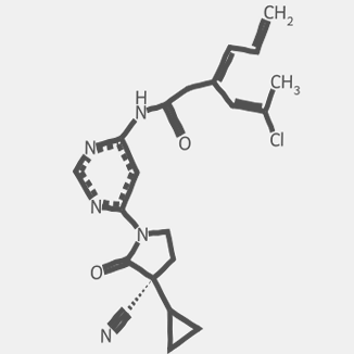 C=C/C=C(\C=C(/C)Cl)CC(=O)Nc1cc(N2CC[C@@](C#N)(C3CC3)C2=O)ncn1